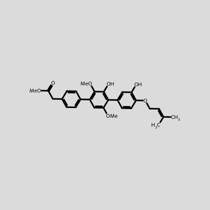 COC(=O)Cc1ccc(-c2cc(OC)c(-c3ccc(OCC=C(C)C)c(O)c3)c(O)c2OC)cc1